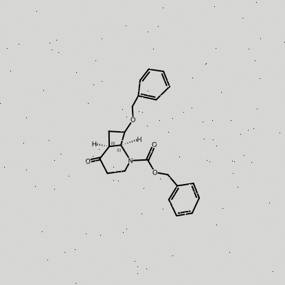 O=C1CCN(C(=O)OCc2ccccc2)[C@@H]2C(OCc3ccccc3)C[C@H]12